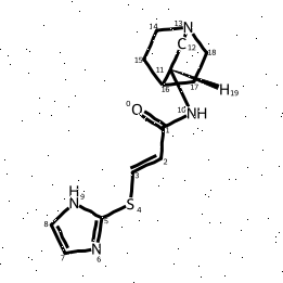 O=C(C=CSc1ncc[nH]1)N[C@H]1CN2CCC1CC2